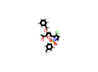 CC(=O)c1oc(-c2c(Cl)ccn2S(=O)(=O)c2ccc(C)cc2)cc1OCc1ccccc1